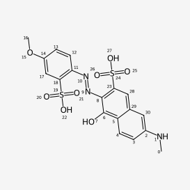 CNc1ccc2c(O)c(N=Nc3ccc(OC)cc3S(=O)(=O)O)c(S(=O)(=O)O)cc2c1